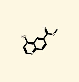 COC(=O)c1ccc2nccc(O)c2c1